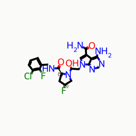 NC(=O)c1cn(CC(O)N2C[C@H](F)C[C@H]2C(=O)NCc2cccc(Cl)c2F)c2ncnc(N)c12